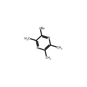 CCCCc1nc(C)c(C)nc1C